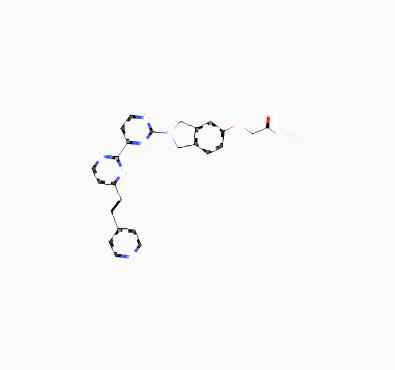 COC(=O)COc1ccc2c(c1)CN(c1nccc(-c3nccc(C=Cc4ccncc4)n3)n1)C2